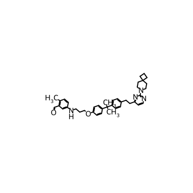 Cc1ccc(NCCCOc2ccc(C(C)(C)c3ccc(CCc4ccnc(N5CCC6(CCC6)CC5)n4)cc3)cc2)cc1C=O